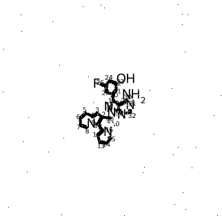 C[C@H](c1cc2ccccn2c1-c1ccccn1)n1nc(-c2cc(O)cc(F)c2)c2c(N)ncnc21